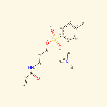 C=CC(=O)NCCCOS(=O)(=O)c1ccc(C)cc1.CN(C)C